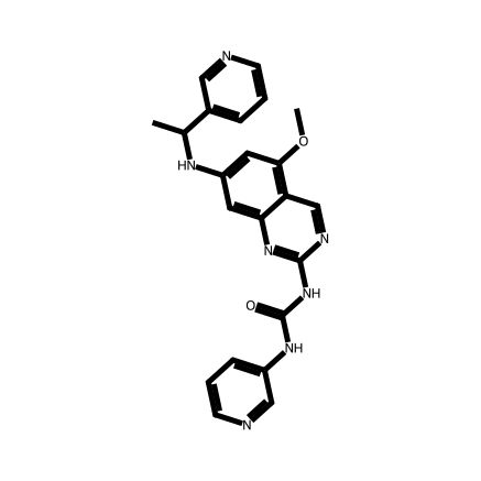 COc1cc(NC(C)c2cccnc2)cc2nc(NC(=O)Nc3cccnc3)ncc12